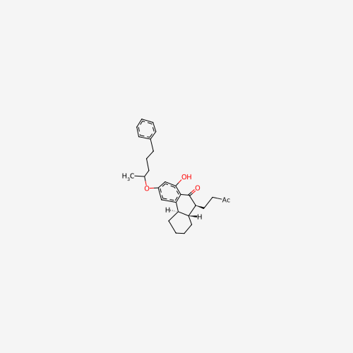 CC(=O)CC[C@@H]1C(=O)c2c(O)cc(OC(C)CCCc3ccccc3)cc2[C@@H]2CCCC[C@@H]12